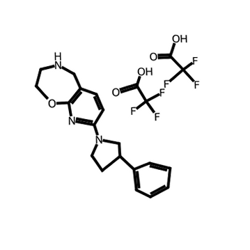 O=C(O)C(F)(F)F.O=C(O)C(F)(F)F.c1ccc(C2CCN(c3ccc4c(n3)OCCNC4)C2)cc1